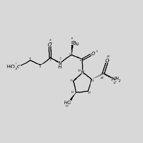 CC(C)(C)[C@H](NC(=O)CCC(=O)O)C(=O)N1C[C@H](O)C[C@H]1C(N)=O